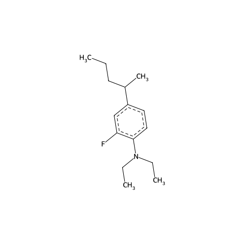 CCCC(C)c1ccc(N(CC)CC)c(F)c1